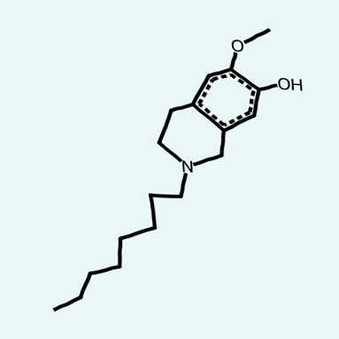 CCCCCCCCN1CCc2cc(OC)c(O)cc2C1